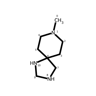 CN1CCC2(CC1)CNCN2